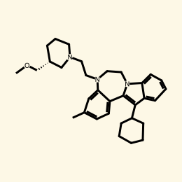 COC[C@@H]1CCCN(CCN2CCn3c(c(C4CCCCC4)c4ccccc43)-c3ccc(C)cc32)C1